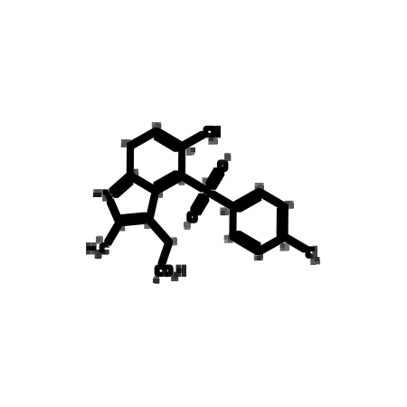 CC1=C(CC(=O)O)C2=C(S(=O)(=O)c3ccc(Cl)cc3)C(C#N)=CCC2=N1